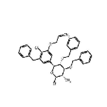 C=CCOc1cc([C@@H]2O[C@H](CC)[C@@H](C)[C@H](OCc3ccccc3)[C@H]2OCc2ccccc2)cc(Cc2ccccc2)c1Cl